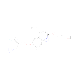 CCOCCOc1cc(C(F)(F)F)c2cc(OC/C(=C/F)CN)ccc2n1